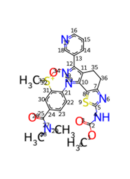 COC(=O)Nc1nc2c(s1)-c1c(c(-c3cccnc3)nn1-c1ccc(C(=O)N(C)C)cc1[S+](C)[O-])CC2